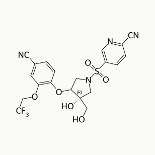 N#Cc1ccc(OC2CN(S(=O)(=O)c3ccc(C#N)nc3)C[C@@]2(O)CO)c(OCC(F)(F)F)c1